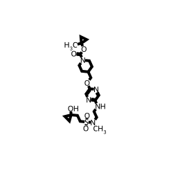 CN(CCNc1cnc(OCC2CCN(C(=O)OC3(C)CC3)CC2)cn1)S(=O)(=O)CCC1(O)CC1